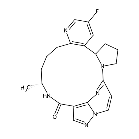 C[C@@H]1CCCc2ncc(F)cc2C2CCCN2c2ccn3ncc(c3n2)C(=O)N1